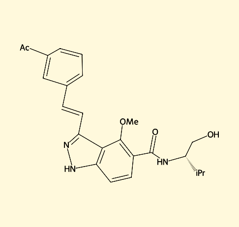 COc1c(C(=O)N[C@H](CO)C(C)C)ccc2[nH]nc(/C=C/c3cccc(C(C)=O)c3)c12